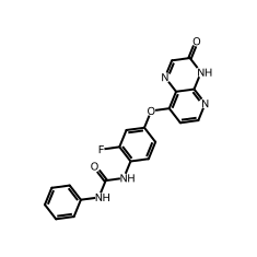 O=C(Nc1ccccc1)Nc1ccc(Oc2ccnc3[nH]c(=O)cnc23)cc1F